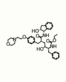 CCOC(=O)N[C@@H](Cc1ccccc1)[C@@H](O)C[C@@H](Cc1ccc(OCCN2CCOCC2)cc1)C(=O)N[C@H]1c2ccccc2C[C@H]1O